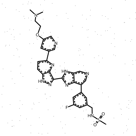 CN(C)CCOc1cncc(-c2ccc3[nH]nc(-c4nc5c(-c6cc(F)cc(CNS(C)(=O)=O)c6)cncc5[nH]4)c3n2)c1